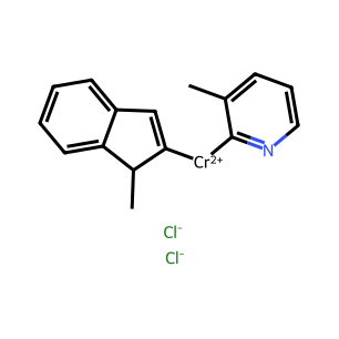 Cc1cccn[c]1[Cr+2][C]1=Cc2ccccc2C1C.[Cl-].[Cl-]